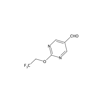 O=Cc1cnc(OCC(F)(F)F)nc1